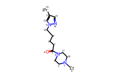 CCN1CCN(C(=O)CCCCn2cc(C(C)C)cn2)CC1